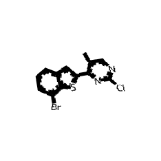 Cc1cnc(Cl)nc1-c1cc2cccc(Br)c2s1